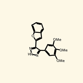 COc1cc(-c2n[nH]nc2-c2cc3ccccc3o2)cc(OC)c1OC